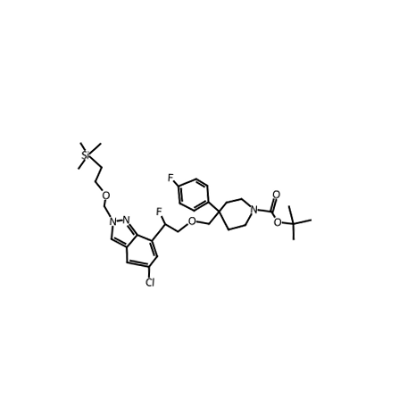 CC(C)(C)OC(=O)N1CCC(COCC(F)c2cc(Cl)cc3cn(COCC[Si](C)(C)C)nc23)(c2ccc(F)cc2)CC1